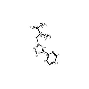 COC(=O)[C@@H](N)Cc1noc(-c2ccccc2)n1